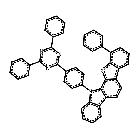 c1ccc(-c2nc(-c3ccccc3)nc(-c3ccc(-n4c5ccccc5c5ccc6c7cccc(-c8ccccc8)c7sc6c54)cc3)n2)cc1